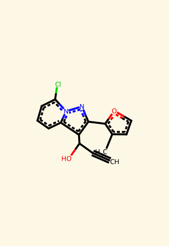 C#CC(O)c1c(-c2occc2C)nn2c(Cl)cccc12